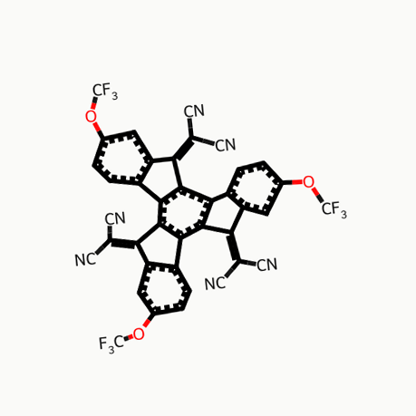 N#CC(C#N)=C1c2cc(OC(F)(F)F)ccc2-c2c1c1c(c3c2C(=C(C#N)C#N)c2cc(OC(F)(F)F)ccc2-3)C(=C(C#N)C#N)c2cc(OC(F)(F)F)ccc2-1